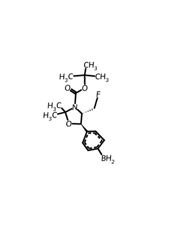 Bc1ccc([C@H]2OC(C)(C)N(C(=O)OC(C)(C)C)[C@@H]2CF)cc1